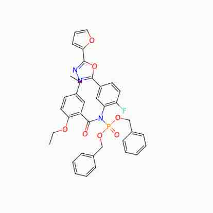 CCOc1ccc(CC)cc1C(=O)N(c1cc(-c2nnc(-c3ccco3)o2)ccc1F)P(=O)(OCc1ccccc1)OCc1ccccc1